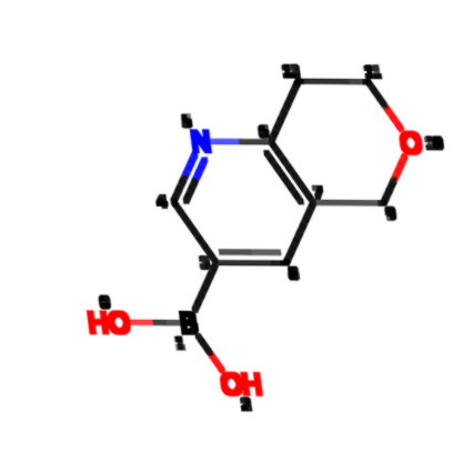 OB(O)c1cnc2c(c1)COCC2